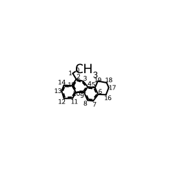 CCc1cc2c3c(ccc2c2ccccc12)CCCC3